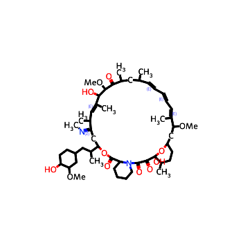 C/N=C1/CC(C(C)CC2CCC(O)C(OC)C2)OC(=O)C2CCCCN2C(=O)C(=O)C2(O)OC(CCC2C)CC(OC)/C(C)=C/C=C/C=C/C(C)CC(C)C(=O)C(OC)C(O)/C(C)=C/C1C